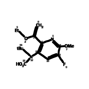 C=C(OCC)c1nc(OC)c(F)cc1N(C(=O)O)C(C)(C)C